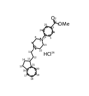 COC(=O)c1ccc(N2CCN(CCC3CCc4ccccc43)CC2)cc1.Cl